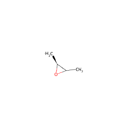 [CH2][C@@H]1OC1C